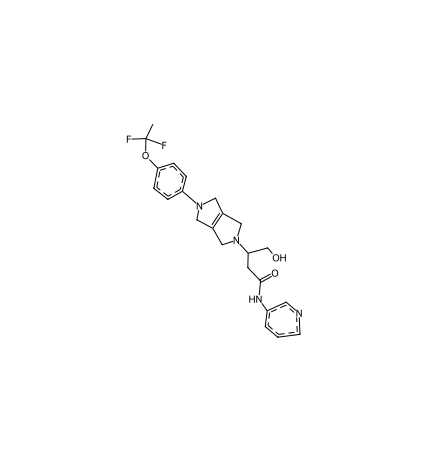 CC(F)(F)Oc1ccc(N2CC3=C(C2)CN(C(CO)CC(=O)Nc2cccnc2)C3)cc1